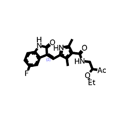 CCOC(CNC(=O)c1c(C)[nH]c(/C=C2\C(=O)Nc3ccc(F)cc32)c1C)C(C)=O